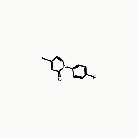 Cc1ccn(-c2ccc(F)cc2)c(=O)c1